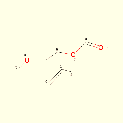 C=CC.COCCOC=O